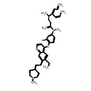 C=C/C=C(\C=C/C)C(C)CCC(=C)N(C)c1ccc(Oc2ccnc3cc(CCC4CCN(C)CC4)c(CC)cc23)c(F)c1